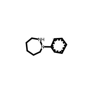 [c]1ccccc1N1CCCCCN1